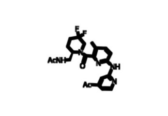 CC(=O)NC[C@H]1CCC(F)(F)CN1C(=O)c1nc(Nc2cc(C(C)=O)ccn2)ccc1C